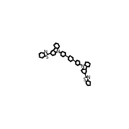 c1ccc2sc(-c3ccc4c(c3)c3ccccc3n4-c3ccc(-c4ccc(-c5ccc(-n6c7ccccc7c7cc(-c8nc9ccccc9s8)ccc76)cc5)cc4)cc3)nc2c1